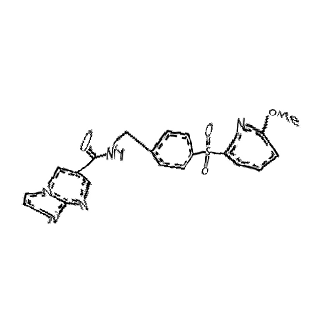 COc1cccc(S(=O)(=O)c2ccc(CNC(=O)c3cnc4nccn4c3)cc2)n1